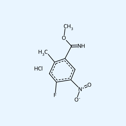 COC(=N)c1cc([N+](=O)[O-])c(F)cc1C.Cl